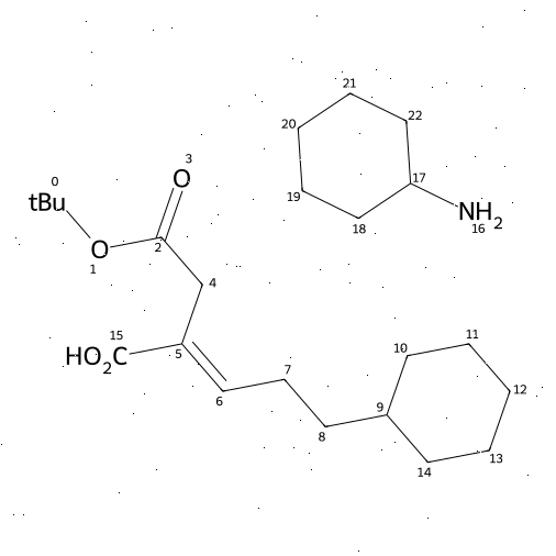 CC(C)(C)OC(=O)CC(=CCCC1CCCCC1)C(=O)O.NC1CCCCC1